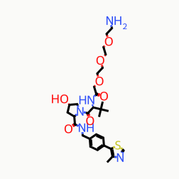 Cc1ncsc1-c1ccc(CNC(=O)C2C[C@@H](O)CN2C(=O)[C@@H](NC(=O)COCCOCCOCCN)C(C)(C)C)cc1